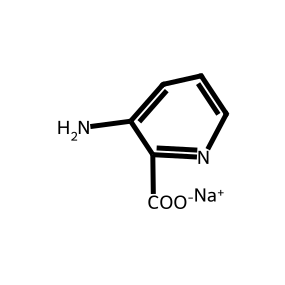 Nc1cccnc1C(=O)[O-].[Na+]